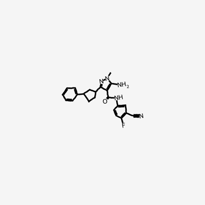 Cn1nc(C2CCC(c3ccccc3)C2)c(C(=O)Nc2ccc(F)c(C#N)c2)c1N